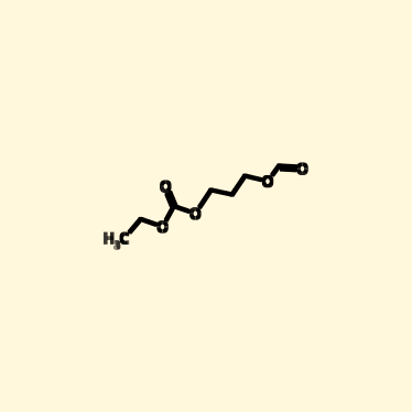 CCOC(=O)OCCCOC=O